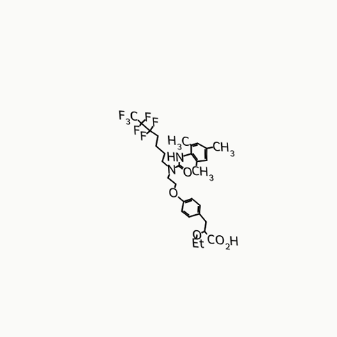 CCOC(Cc1ccc(OCCN(CCCCC(F)(F)C(F)(F)C(F)(F)F)C(=O)Nc2c(C)cc(C)cc2C)cc1)C(=O)O